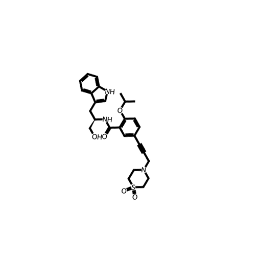 CC(C)Oc1ccc(C#CCN2CCS(=O)(=O)CC2)cc1C(=O)N[C@@H](CO)Cc1c[nH]c2ccccc12